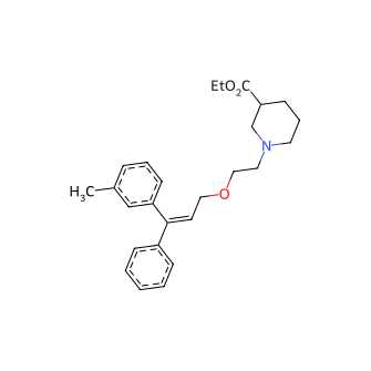 CCOC(=O)C1CCCN(CCOCC=C(c2ccccc2)c2cccc(C)c2)C1